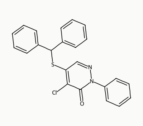 O=c1c(Cl)c(SC(c2ccccc2)c2ccccc2)cnn1-c1ccccc1